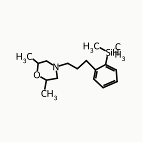 CC1CN(CCCc2ccccc2[SiH](C)C)CC(C)O1